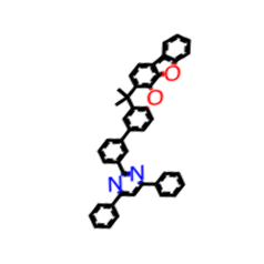 CC1(C)c2cc(-c3cccc(-c4nc(-c5ccccc5)cc(-c5ccccc5)n4)c3)ccc2Oc2c1ccc1c2oc2ccccc21